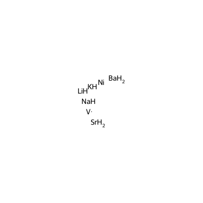 [BaH2].[KH].[LiH].[NaH].[Ni].[SrH2].[V]